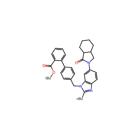 CCCCc1nc2ccc(N3CC4CCCCC4C3=O)cc2n1Cc1ccc(-c2ccccc2C(=O)OC(C)(C)C)cc1